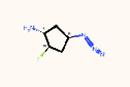 [N-]=[N+]=N[C@@H]1C[C@@H](N)[C@H](F)C1